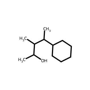 CC(O)C(C)C(C)C1CCCCC1